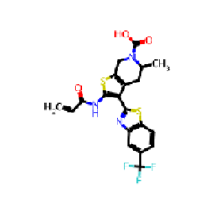 C=CC(=O)Nc1sc2c(c1-c1nc3cc(C(F)(F)F)ccc3s1)CC(C)N(C(=O)O)C2